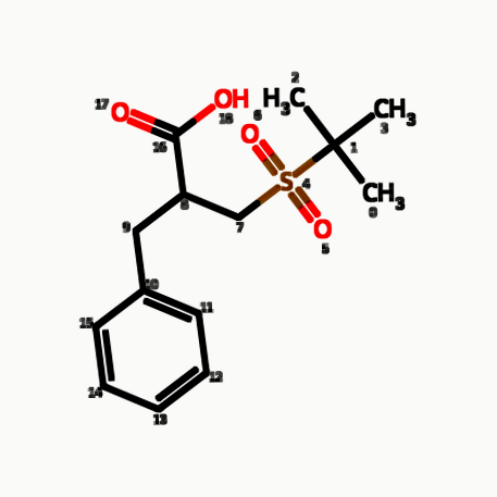 CC(C)(C)S(=O)(=O)CC(Cc1ccccc1)C(=O)O